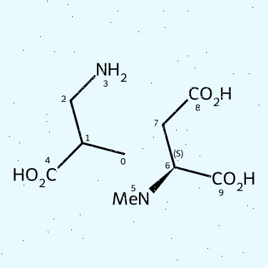 CC(CN)C(=O)O.CN[C@@H](CC(=O)O)C(=O)O